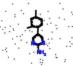 Cc1ccc(-c2cnc(N)nc2)c(C)c1